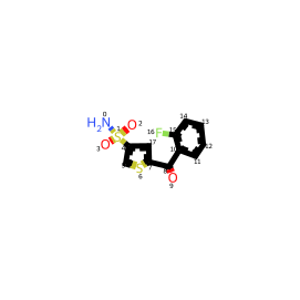 NS(=O)(=O)c1csc(C(=O)c2ccccc2F)c1